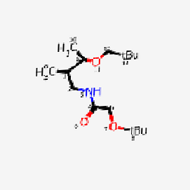 CC(CNC(=O)COC(C)(C)C)C(C)OCC(C)(C)C